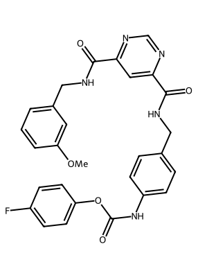 COc1cccc(CNC(=O)c2cc(C(=O)NCc3ccc(NC(=O)Oc4ccc(F)cc4)cc3)ncn2)c1